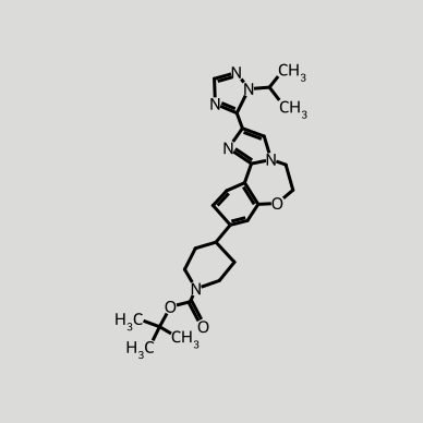 CC(C)n1ncnc1-c1cn2c(n1)-c1ccc(C3CCN(C(=O)OC(C)(C)C)CC3)cc1OCC2